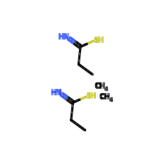 C.C.CCC(=N)S.CCC(=N)S